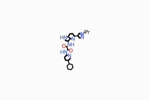 CC(C)n1cc(-c2ccc3[nH]cc(NC(=O)C(=O)Nc4ccc(C5CCCCC5)cn4)c3n2)cn1